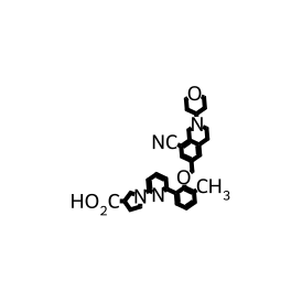 Cc1cccc(-c2cccc(N3CCC(C(=O)O)C3)n2)c1OCc1cc(C#N)c2c(c1)CCN(C1CCOCC1)C2